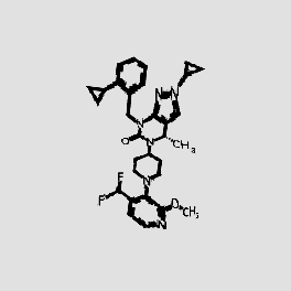 COc1nccc(C(F)F)c1N1CCC(N2C(=O)N(Cc3ccccc3C3CC3)c3nn(C4CC4)cc3[C@@H]2C)CC1